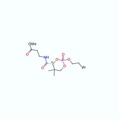 COC(=O)CCNC(=O)[C@@H]1OP(=O)(OCCC(C)C)OCC1(C)C